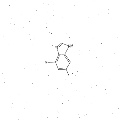 Cc1cc(F)c2nc[nH]c2c1